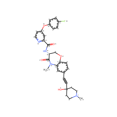 CN1CCC(O)(C#Cc2ccc3c(c2)N(C)C(=O)[C@H](NC(=O)c2cc(Oc4ccc(F)cc4)ccn2)CO3)CC1